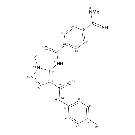 CNC(=N)c1ccc(C(=O)Nc2c(C(=O)Nc3ccc(C)cc3)cnn2C)cc1